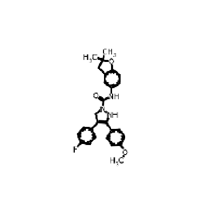 COc1ccc(C2=C(c3ccc(F)cc3)CN(C(=O)Nc3ccc4c(c3)CC(C)(C)O4)N2)cc1